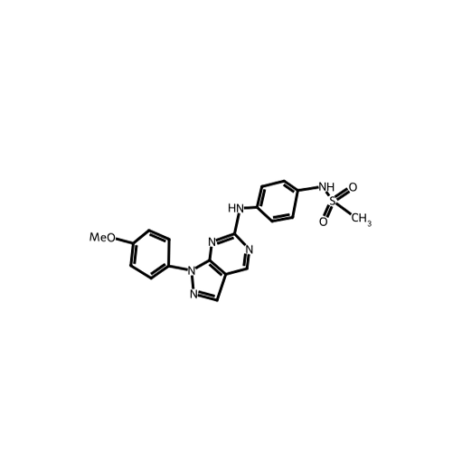 COc1ccc(-n2ncc3cnc(Nc4ccc(NS(C)(=O)=O)cc4)nc32)cc1